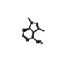 Cc1cn(C)c2ncnc(N)c12